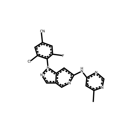 Cc1cc(Nc2cc3c(cn2)cnn3-c2c(F)cc(C#N)cc2Cl)ncn1